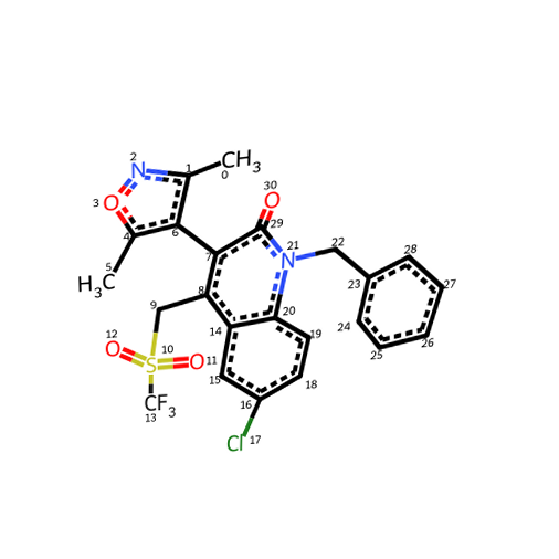 Cc1noc(C)c1-c1c(CS(=O)(=O)C(F)(F)F)c2cc(Cl)ccc2n(Cc2ccccc2)c1=O